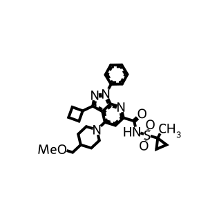 COCC1CCN(c2cc(C(=O)NS(=O)(=O)C3(C)CC3)nc3c2c(C2CCC2)nn3-c2ccccc2)CC1